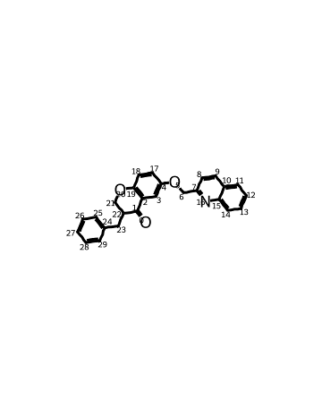 O=C1c2cc(OCc3ccc4ccccc4n3)ccc2OCC1Cc1ccccc1